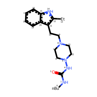 CCCCNC(=O)NN1CCN(CCc2c(CC)[nH]c3ccccc23)CC1